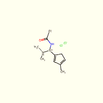 CCC(=O)[NH][Ti+2]([C]1=CC(C)=CC1)[SiH](C)C.[Cl-].[Cl-]